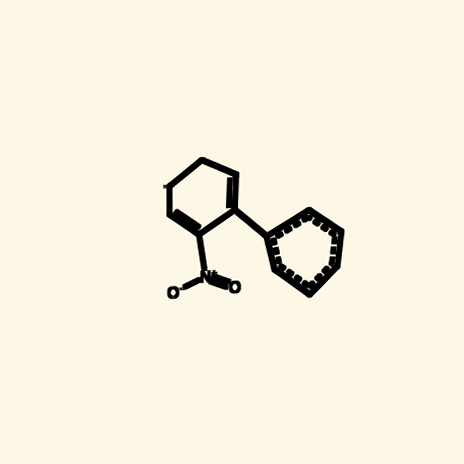 O=[N+]([O-])C1=C[CH]CC=C1c1ccccc1